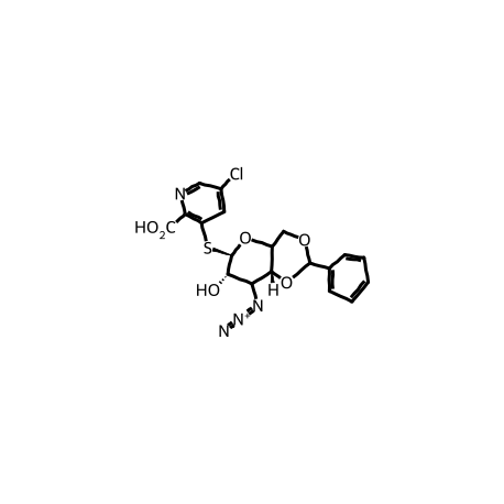 [N-]=[N+]=NC1[C@H]2OC(c3ccccc3)OCC2O[C@H](Sc2cc(Cl)cnc2C(=O)O)[C@H]1O